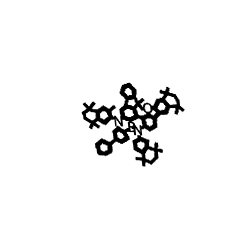 Cc1cc2c(cc1N1c3cc(-c4ccccc4)ccc3B3c4c1cc1c(c4-c4c(ccc5c4oc4cc6c(cc45)C(C)(C)CCC6(C)C)N3c3ccc4c(c3)C(C)(C)CCC4(C)C)C(C)(C)c3ccccc3-1)C(C)(C)CCC2(C)C